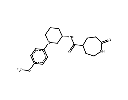 O=C1CCC(C(=O)N[C@H]2CCCN(c3ccc(OC(F)(F)F)cc3)C2)CCN1